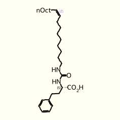 CCCCCCCC/C=C\CCCCCCCCNC(=O)N[C@@H](CCc1ccccc1)C(=O)O